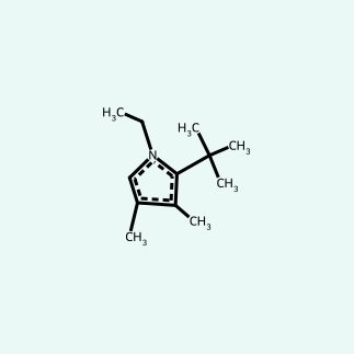 CCn1cc(C)c(C)c1C(C)(C)C